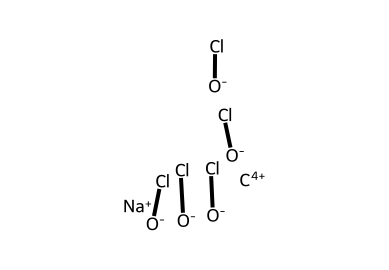 [C+4].[Na+].[O-]Cl.[O-]Cl.[O-]Cl.[O-]Cl.[O-]Cl